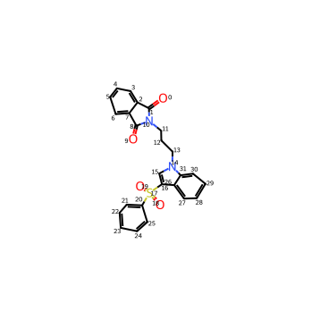 O=C1c2ccccc2C(=O)N1CCCn1cc(S(=O)(=O)c2ccccc2)c2ccccc21